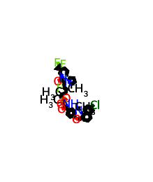 C[C@@H]1CCCN1[C@@H](C(=O)N1CCCC2(C1)CC2(F)F)/C(F)=C/C[C@H](C)[C@@H](C)S(=O)(=O)NC(=O)c1ccc2c(c1)N(C)C[C@@]1(CCCc3cc(Cl)ccc31)CO2